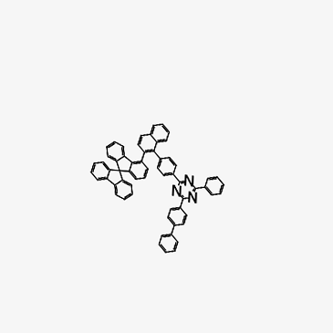 c1ccc(-c2ccc(-c3nc(-c4ccccc4)nc(-c4ccc(-c5c(-c6cccc7c6-c6ccccc6C76c7ccccc7-c7ccccc76)ccc6ccccc56)cc4)n3)cc2)cc1